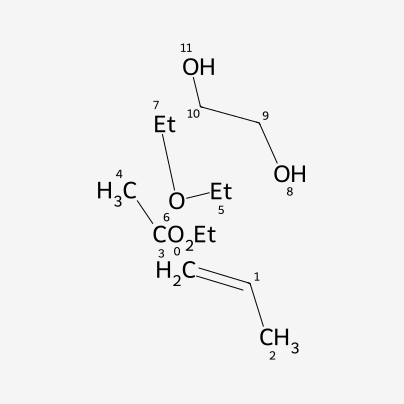 C=CC.CCOC(C)=O.CCOCC.OCCO